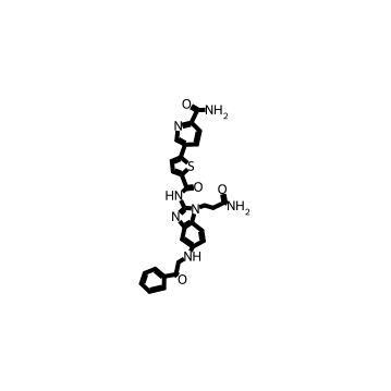 NC(=O)CCn1c(NC(=O)c2ccc(-c3ccc(C(N)=O)nc3)s2)nc2cc(NCC(=O)c3ccccc3)ccc21